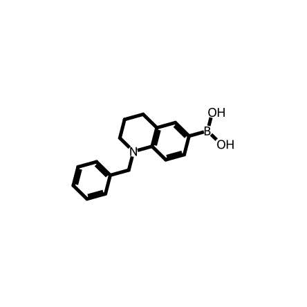 OB(O)c1ccc2c(c1)CCCN2Cc1ccccc1